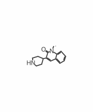 [CH2]n1c(=O)c(C2CCNCC2)cc2ccccc21